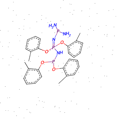 Cc1ccccc1OP(NP(=NP(N)N)(Oc1ccccc1C)Oc1ccccc1C)Oc1ccccc1C